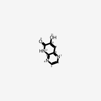 O=c1[nH]c2nccnc2cc1O